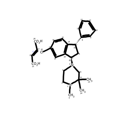 CN1CCN([C@@H]2C[C@@H](c3ccccc3)c3ccc(Cl)cc32)CC1(C)C.O=C(O)/C=C/C(=O)O